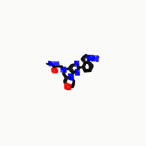 CNC(=O)CN1CC2COCCN2c2nc(-c3cccc4[nH]ccc34)ncc21